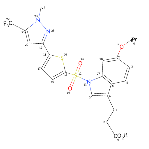 CC(C)Oc1ccc2c(CCC(=O)O)cn(S(=O)(=O)c3ccc(-c4cc(C(F)(F)F)n(C)n4)s3)c2c1